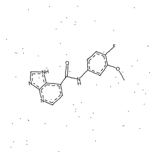 COc1cc(NC(=O)c2ccnc3nc[nH]c23)ccc1F